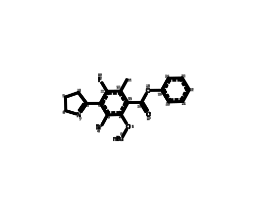 CCCCOc1c(Br)c(C2=NCCC2)c(F)c(C)c1C(=O)Oc1ccccc1